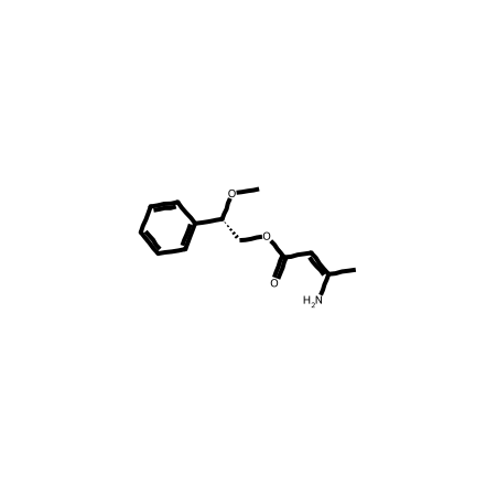 CO[C@H](COC(=O)C=C(C)N)c1ccccc1